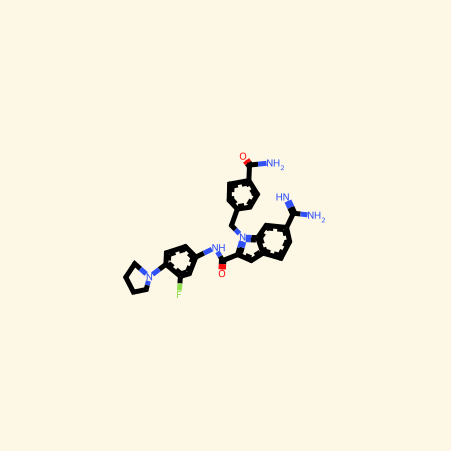 N=C(N)c1ccc2cc(C(=O)Nc3ccc(N4CCCC4)c(F)c3)n(Cc3ccc(C(N)=O)cc3)c2c1